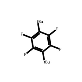 CC(C)(C)c1c(F)c(F)c(C(C)(C)C)c(F)c1F